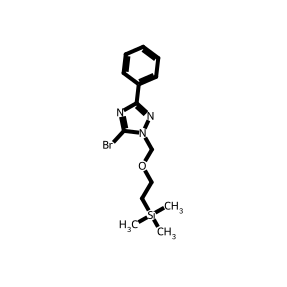 C[Si](C)(C)CCOCn1nc(-c2ccccc2)nc1Br